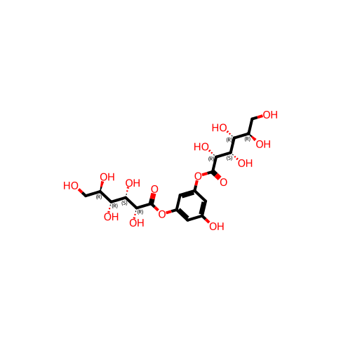 O=C(Oc1cc(O)cc(OC(=O)[C@H](O)[C@@H](O)[C@H](O)[C@H](O)CO)c1)[C@H](O)[C@@H](O)[C@H](O)[C@H](O)CO